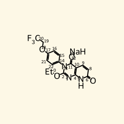 CCOc1nc2[nH]c(=O)ccc2c(=O)n1-c1ccc(OCC(F)(F)F)cc1.[NaH]